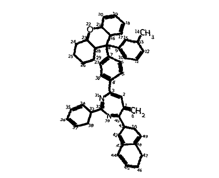 C=C1C=C(c2ccc(C3(C4=CC=CC(C)C4)C4C=CC=CC4OC4CCCCC43)cc2)N=C(C2C=CC=CC2)N=C1C1C=C2C=CCCC2=CC1